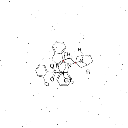 Cc1nc2ccccc2n1C1C[C@H]2CC[C@@H](C1)N2CC[C@@]1(CN(C)S(=O)(=O)c2ccccc2Cl)CCc2ccccc21